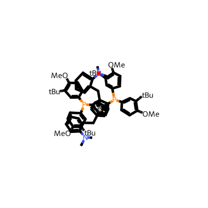 COc1ccc(P(c2ccc(OC)c(C(C)(C)C)c2)[C]23[CH]4[CH]5[C]6(P(c7ccc(OC)c(C(C)(C)C)c7)c7ccc(OC)c(C(C)(C)C)c7)[C]2(Cc2ccccc2N(C)C)[Fe]45362789[CH]3[CH]2[CH]7[C]8(Cc2ccccc2N(C)C)[CH]39)cc1C(C)(C)C